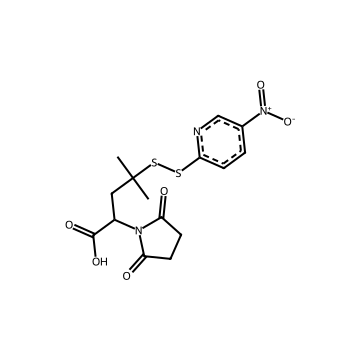 CC(C)(CC(C(=O)O)N1C(=O)CCC1=O)SSc1ccc([N+](=O)[O-])cn1